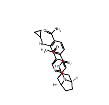 CC(=O)c1ccc(N2[C@@H]3CC[C@H]2C[C@@H](NC(=O)c2ccc(C(N)=O)c(NC4CC4)c2)C3)nc1